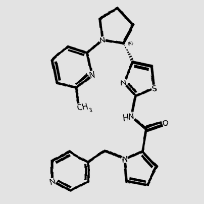 Cc1cccc(N2CCC[C@@H]2c2csc(NC(=O)c3cccn3Cc3ccncc3)n2)n1